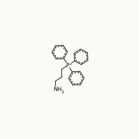 NCCC[P+](c1ccccc1)(c1ccccc1)c1ccccc1